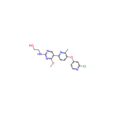 COc1nc(NCCO)ncc1-c1ccc(Oc2ccnc(Cl)c2)c(C)n1